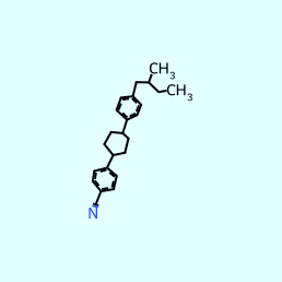 CCC(C)Cc1ccc(C2CCC(c3ccc(C#N)cc3)CC2)cc1